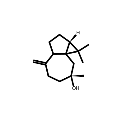 C=C1CC[C@@](C)(O)CC23C1CC[C@@H]2C3(C)C